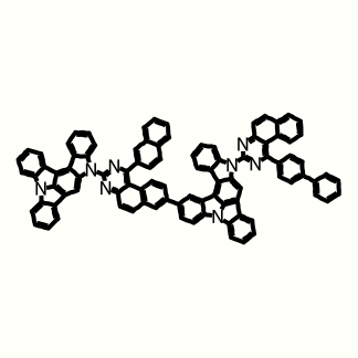 c1ccc(-c2ccc(-c3nc(-n4c5ccccc5c5c6c7cc(-c8ccc9c(ccc%10nc(-n%11c%12ccccc%12c%12c%13c%14ccccc%14n%14c%15ccccc%15c(cc%12%11)c%13%14)nc(-c%11ccc%12ccccc%12c%11)c%109)c8)ccc7n7c8ccccc8c(cc54)c67)nc4ccc5ccccc5c34)cc2)cc1